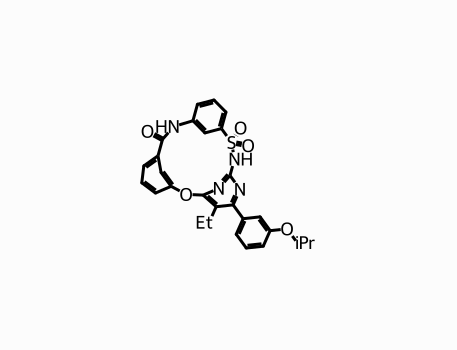 CCc1c2nc(nc1-c1cccc(OC(C)C)c1)NS(=O)(=O)c1cccc(c1)NC(=O)c1cccc(c1)O2